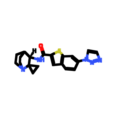 O=C(N[C@@H]1C2CCN(CC2)C12CC2)c1cc2ccc(-n3ccnn3)cc2s1